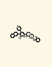 CC(C)N[C@@H](Cc1ccccc1)CN1CCC(c2cc(-c3ccncc3)c(-c3ccc4ccccc4c3)c(=O)[nH]2)C[C@H]1C